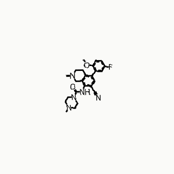 COc1ccc(F)cc1-c1cc(C#N)c(NC(=O)N2CCN(C)CC2)c2c1CCN(C)C2